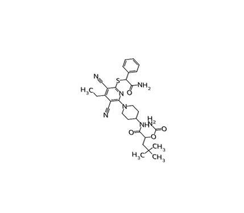 CCc1c(C#N)c(SC(C(N)=O)c2ccccc2)nc(N2CCC(NC(=O)C(CC(C)(C)C)OC(N)=O)CC2)c1C#N